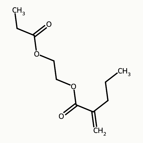 C=C(CCC)C(=O)OCCOC(=O)CC